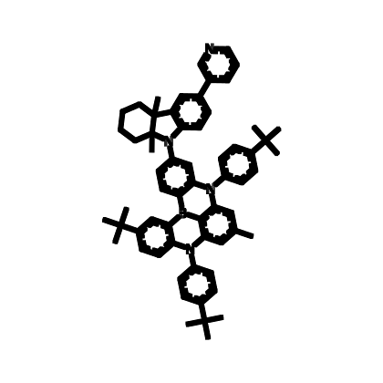 Cc1cc2c3c(c1)N(c1ccc(C(C)(C)C)cc1)c1cc(N4c5ccc(-c6cccnc6)cc5C5(C)CCCCC45C)ccc1B3c1cc(C(C)(C)C)ccc1N2c1ccc(C(C)(C)C)cc1